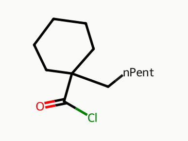 CCCCCCC1(C(=O)Cl)CCCCC1